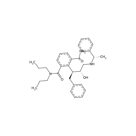 CCCN(CCC)C(=O)c1cccc(C(N)=O)c1[C@H](Cc1ccccc1)[C@@H](O)CN[C@@H](C)c1ccccc1